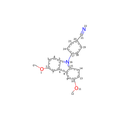 COc1ccc2c(c1)c1cc(OC)ccc1n2-c1ccc(C#N)cc1